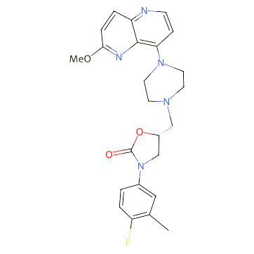 COc1ccc2nccc(N3CCN(C[C@@H]4CN(c5ccc(F)c(C)c5)C(=O)O4)CC3)c2n1